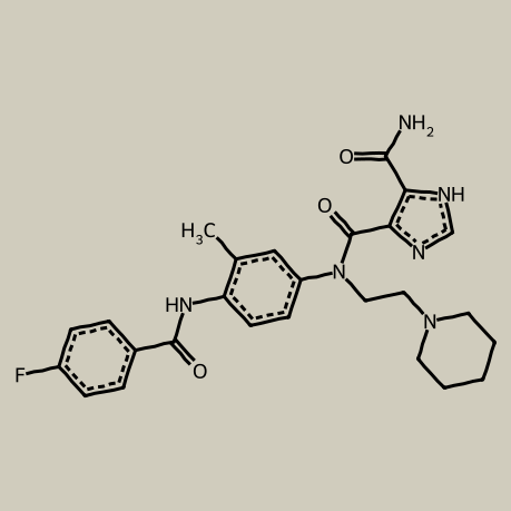 Cc1cc(N(CCN2CCCCC2)C(=O)c2nc[nH]c2C(N)=O)ccc1NC(=O)c1ccc(F)cc1